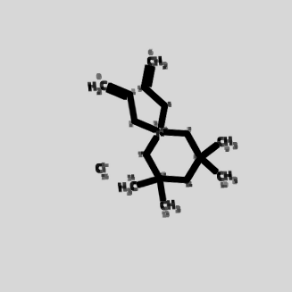 C=CC[N+]1(CC=C)CC(C)(C)CC(C)(C)C1.[Cl-]